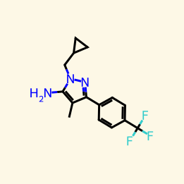 Cc1c(-c2ccc(C(F)(F)F)cc2)nn(CC2CC2)c1N